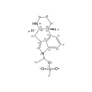 CC(OS(C)(=O)=O)n1cc2c3c(cccc31)[C@H]1CCCN[C@@H]1C2